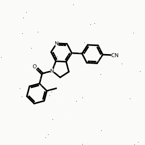 Cc1ccccc1C(=O)N1CCc2c(-c3ccc(C#N)cc3)cncc21